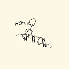 CCc1cnn2c(NCc3ccc(N)nc3)cc(N3CCCC[C@H]3CCO)nc12